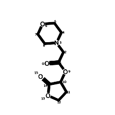 O=C(CN1CCOCC1)OC1CCOC1=O